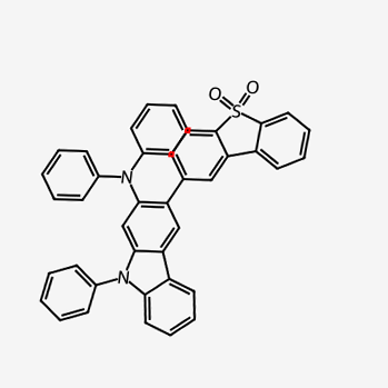 O=S1(=O)c2ccccc2-c2cc(-c3cc4c5ccccc5n(-c5ccccc5)c4cc3N(c3ccccc3)c3ccccc3)ccc21